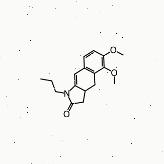 CCCN1C(=O)CC2Cc3c(ccc(OC)c3OC)C=C21